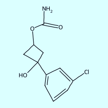 NC(=O)OC1CC(O)(c2cccc(Cl)c2)C1